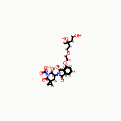 CC(O)(CCO)CCOCCOc1cccc2c1C(=O)N(C1CC3(CC3)C(=O)N(C(=O)O)C1=O)C2=O